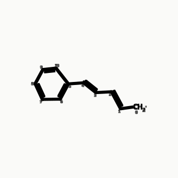 [CH2]C=CC=[C]c1ccccc1